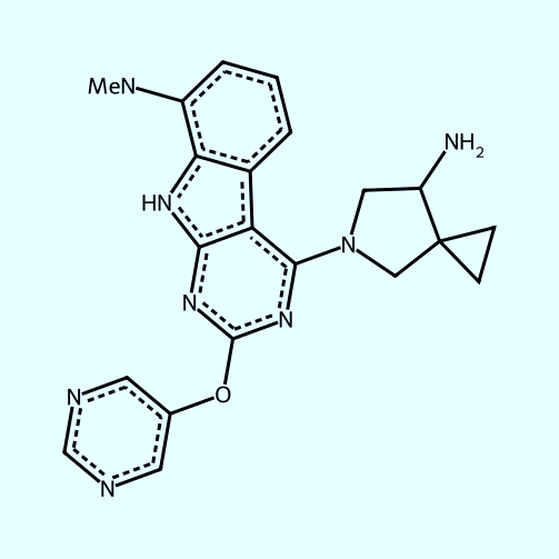 CNc1cccc2c1[nH]c1nc(Oc3cncnc3)nc(N3CC(N)C4(CC4)C3)c12